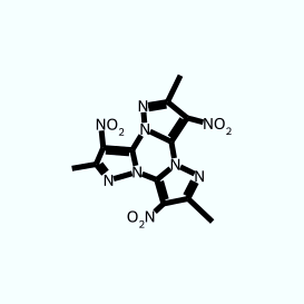 Cc1nn2c(c1[N+](=O)[O-])n1nc(C)c([N+](=O)[O-])c1n1nc(C)c([N+](=O)[O-])c21